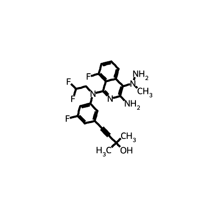 CN(N)c1c(N)nc(N(CC(F)F)c2cc(F)cc(C#CC(C)(C)O)c2)c2c(F)cccc12